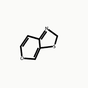 C1=CC2=NCSC2=CO1